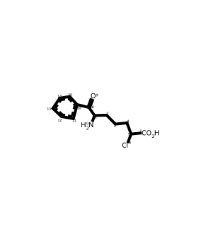 NC(CCCC(Cl)C(=O)O)C(=O)c1ccccc1